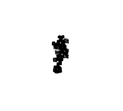 CCOc1cc2ncc(C#N)c(Nc3ccc(OCc4ccccn4)c(Cl)c3)c2cc1/C(=C\CN(C)C)C(N)=O